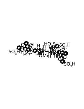 COc1nc(NCCNc2nc(Nc3cc(Nc4ccc5[nH]c(=O)c(C(=O)c6cccc(S(=O)(=O)O)c6)c6c5c4C(=O)c4ccccc4-6)c(S(=O)(=O)O)cc3S(=O)(=O)O)nc(OC)n2)nc(Nc2cc(Nc3ccc4[nH]c(=O)c(C(=O)c5cccc(S(=O)(=O)O)c5)c5c4c3C(=O)c3ccccc3-5)c(S(=O)(=O)O)cc2S(=O)(=O)O)n1